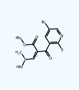 CCCCN(C)/C=C(\C(=O)OC(C)(C)C)C(=O)c1cc(Br)cnc1F